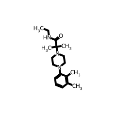 CCNC(=O)C(C)(C)N1CCN(c2cccc(C)c2C)CC1